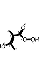 CC(O)=C(C)C(=O)OO